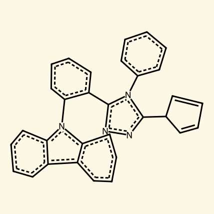 C1=CC(c2nnc(-c3ccccc3-n3c4ccccc4c4ccccc43)n2-c2ccccc2)C=C1